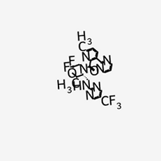 Cc1ccc(-c2ncccn2)c(C(=O)N2CC(F)(F)O[C@@H](C)[C@H]2CNc2ncc(C(F)(F)F)cn2)n1